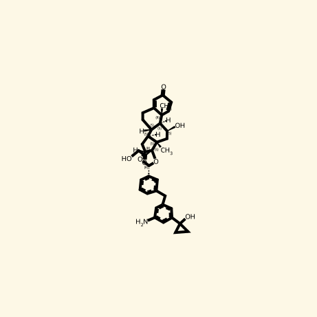 C[C@]12C=CC(=O)C=C1CC[C@@H]1[C@@H]2[C@@H](O)C[C@@]2(C)[C@H]1C[C@H]1O[C@@H](c3cccc(Cc4cc(N)cc(C5(O)CC5)c4)c3)O[C@]12C(=O)CO